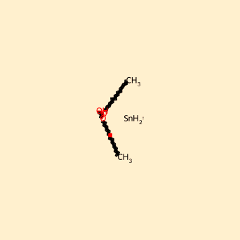 CCCCCCCCCCCCCCCCCCOCC(CO)OCCCCCCCCCCCCCCCCCC.[SnH2]